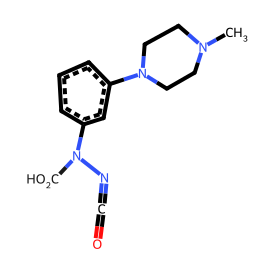 CN1CCN(c2cccc(N(N=C=O)C(=O)O)c2)CC1